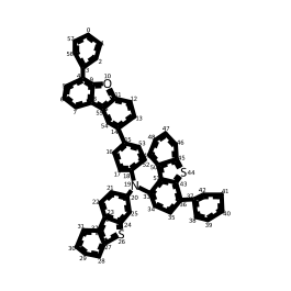 c1ccc(-c2cccc3c2oc2ccc(-c4ccc(N(c5ccc6c(c5)sc5ccccc56)c5ccc(-c6ccccc6)c6sc7ccccc7c56)cc4)cc23)cc1